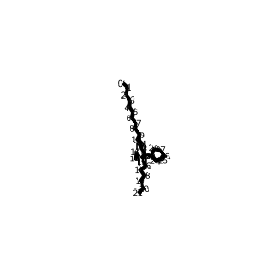 CCCCCCCCCCCCn1cc[n+](CCCCCC)c1-c1ccccc1